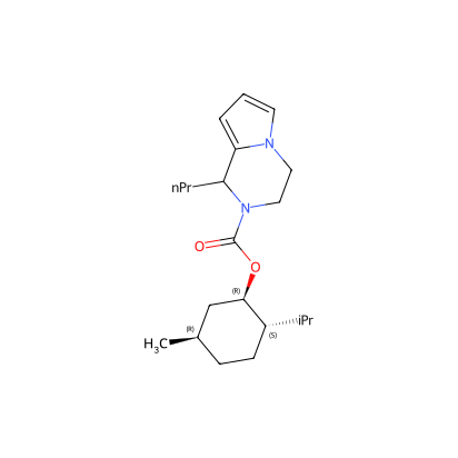 CCCC1c2cccn2CCN1C(=O)O[C@@H]1C[C@H](C)CC[C@H]1C(C)C